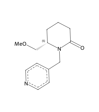 COC[C@@H]1CCCC(=O)N1Cc1ccncc1